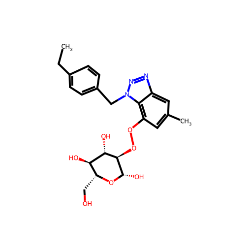 CCc1ccc(Cn2nnc3cc(C)cc(OO[C@@H]4[C@@H](O)[C@H](O)[C@@H](CO)O[C@H]4O)c32)cc1